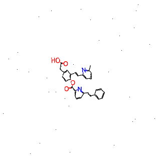 Cc1cccc(C=Cc2cc(CC(=O)O)ccc2OC(=O)c2cccc(C=Cc3ccccc3)n2)n1